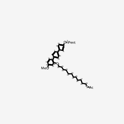 CCCCCOc1ccc(-c2ccc(-c3ccc(OC)cc3OCCCCCCCCCCCCSC(C)=O)cc2)cc1